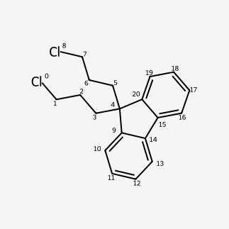 ClCCCC1(CCCCl)c2ccccc2-c2ccccc21